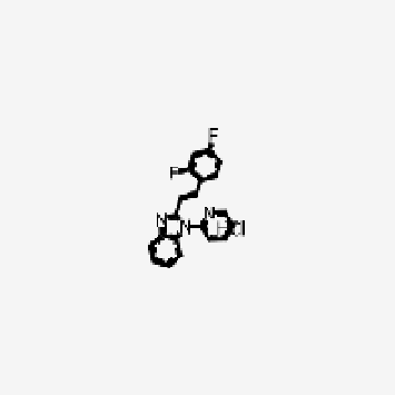 Cl.Fc1ccc(C=Cc2nc3ccccc3n2-c2ccccn2)c(F)c1